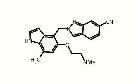 CNCCOc1cc(C)c2[nH]ccc2c1Cn1cc2ccc(C#N)cc2n1